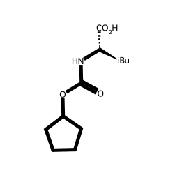 CC[C@H](C)[C@H](NC(=O)OC1CCCC1)C(=O)O